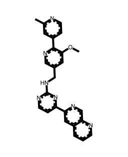 COc1cc(CNc2nccc(-c3cc4cccnc4cn3)n2)cnc1-c1ccnc(C)c1